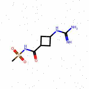 CS(=O)(=O)NC(=O)C1CC(NC(=N)N)C1